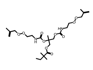 C=C(C)COOCCNC(=O)OCC(C)(COC(=O)C(C)(C)CC)OC(=O)NCCOOCC(=C)C